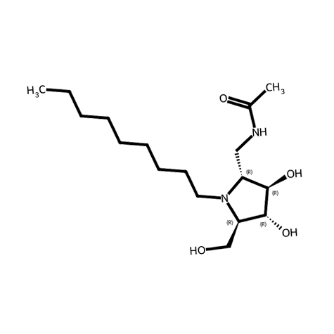 CCCCCCCCCN1[C@H](CO)[C@@H](O)[C@H](O)[C@H]1CNC(C)=O